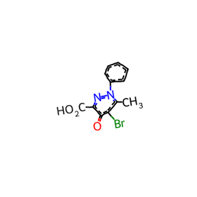 Cc1c(Br)c(=O)c(C(=O)O)nn1-c1ccccc1